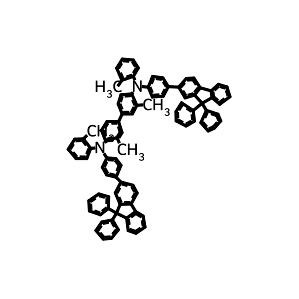 Cc1ccccc1N(c1ccc(-c2ccc3c(c2)C(c2ccccc2)(c2ccccc2)c2ccccc2-3)cc1)c1ccc(-c2ccc(N(c3ccc(-c4ccc5c(c4)C(c4ccccc4)(c4ccccc4)c4ccccc4-5)cc3)c3ccccc3C)c(C)c2)cc1C